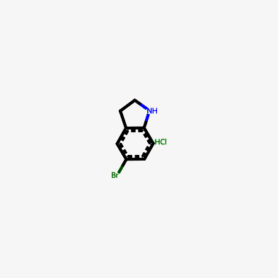 Brc1ccc2c(c1)CCN2.Cl